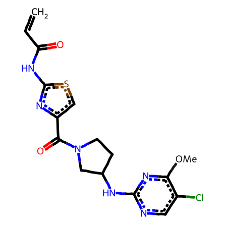 C=CC(=O)Nc1nc(C(=O)N2CCC(Nc3ncc(Cl)c(OC)n3)C2)cs1